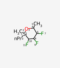 CCC[Si]1(C)OC(C)C(F)C(F)C1F